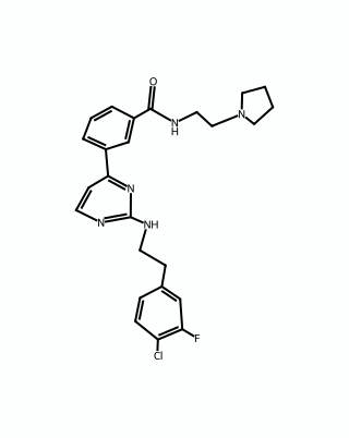 O=C(NCCN1CCCC1)c1cccc(-c2ccnc(NCCc3ccc(Cl)c(F)c3)n2)c1